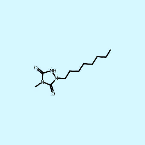 CCCCCCCCn1[nH]c(=O)n(C)c1=O